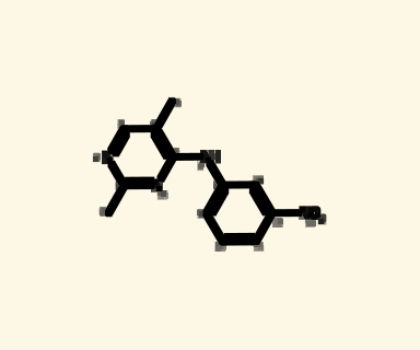 Cc1ncc(C)c(Nc2cccc([N+](=O)[O-])c2)n1